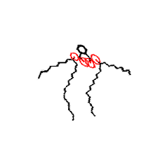 CCCCCCCCCCCCCCC(CCCCCCCC)OC(=O)c1ccccc1C(=O)OC(CCCCCCCC)CCCCCCCCCCCCCC